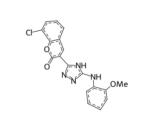 COc1ccccc1Nc1nnc(-c2cc3cccc(Cl)c3oc2=O)[nH]1